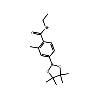 CCNC(=O)c1ccc(B2OC(C)(C)C(C)(C)O2)cc1C